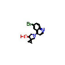 OC1CN(c2ccnc3ccc(Br)cc23)CC12CC2